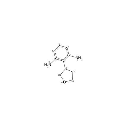 Nc1cccc(N)c1C1CCOC1